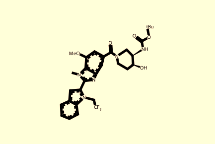 COc1cc(C(=O)N2CC[C@H](O)[C@H](NC(=O)OC(C)(C)C)C2)cc2nc(-c3cc4ccccc4n3CC(F)(F)F)n(C)c12